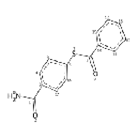 NC(=O)c1ccc(SC(=O)c2ccccc2)cc1